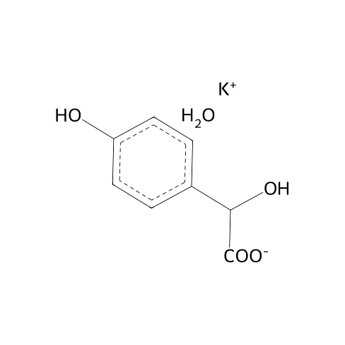 O.O=C([O-])C(O)c1ccc(O)cc1.[K+]